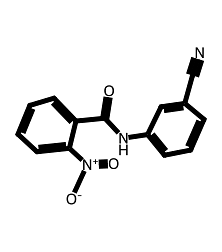 N#Cc1cccc(NC(=O)c2ccccc2[N+](=O)[O-])c1